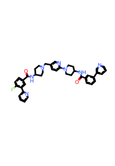 O=C(NC1CCN(Cc2ccc(N3CCC(NC(=O)c4cccc(-c5cccnc5)c4)CC3)nc2)CC1)c1ccc(F)c(-c2ccccn2)c1